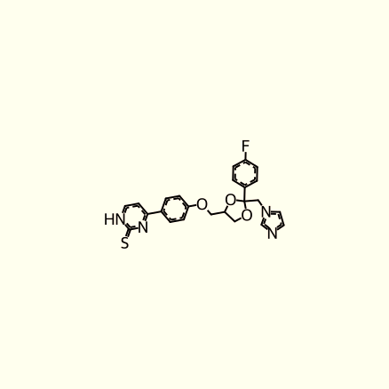 Fc1ccc(C2(Cn3ccnc3)OCC(COc3ccc(-c4cc[nH]c(=S)n4)cc3)O2)cc1